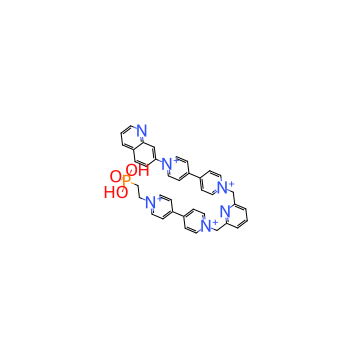 O=P(O)(O)CC[n+]1ccc(-c2cc[n+](Cc3cccc(C[n+]4ccc(-c5cc[n+](-c6ccc7cccnc7c6)cc5)cc4)n3)cc2)cc1